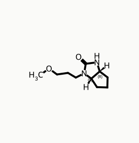 COCCCN1C(=O)N[C@@H]2CCC[C@@H]21